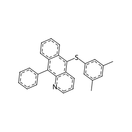 Cc1cc(C)cc(Sc2c3ccccc3c(-c3ccccc3)c3ncccc23)c1